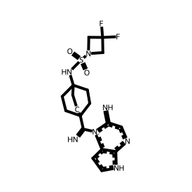 N=C(n1c(=N)cnc2[nH]ccc21)C12CCC(NS(=O)(=O)N3CC(F)(F)C3)(CC1)CC2